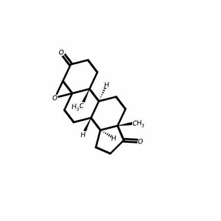 C[C@]12CC[C@H]3[C@@H](CCC45OC4C(=O)CC[C@]35C)[C@@H]1CCC2=O